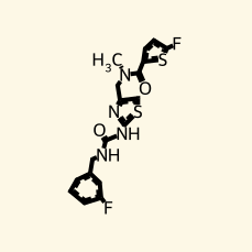 CN(Cc1csc(NC(=O)NCc2cccc(F)c2)n1)C(=O)c1ccc(F)s1